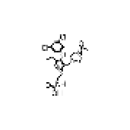 CCc1nn(CCNC(=O)O)c(CN2CCN(C(C)=O)CC2)c1Oc1cc(Cl)cc(Cl)c1